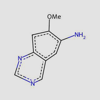 COc1cc2ncncc2cc1N